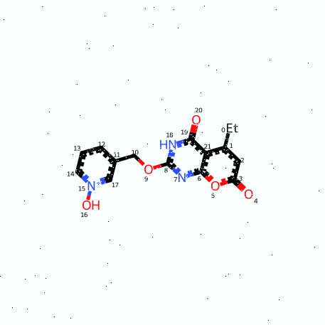 CCc1cc(=O)oc2nc(OCc3ccc[n+](O)c3)[nH]c(=O)c12